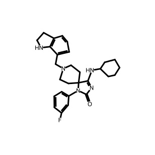 O=C1N=C(NC2CCCCC2)C2(CCN(Cc3cccc4c3NCC4)CC2)N1c1cccc(F)c1